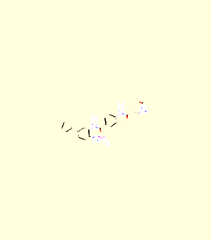 CC(=O)N(C)CCC(=O)Nc1ccc(C(=O)Nc2cc(-c3cccs3)ccc2N)cc1